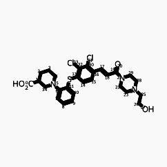 O=C(O)C1CCCN(c2ccccc2Sc2ccc(C=CC(=O)N3CCN(CCO)CC3)c(Cl)c2Cl)C1